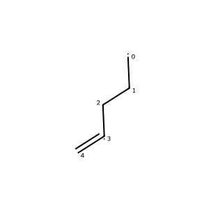 [CH2]CC[C]=C